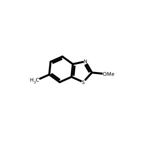 [CH2]Oc1nc2ccc(C)cc2s1